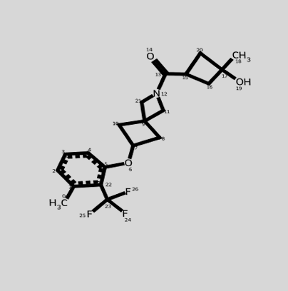 Cc1cccc(OC2CC3(C2)CN(C(=O)C2CC(C)(O)C2)C3)c1C(F)(F)F